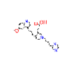 COc1ccc2nccc(CCC[C@@H]3CCN(CCCCc4cnccn4)C[C@@H]3CCC(=O)O)c2c1